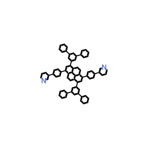 c1ccc(-c2cc(-c3ccccc3)cc(-c3cc(-c4ccc(-c5cccnc5)cc4)c4ccc5c(-c6cc(-c7ccccc7)cc(-c7ccccc7)c6)cc(-c6ccc(-c7cccnc7)cc6)c6ccc3c4c65)c2)cc1